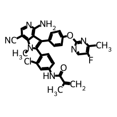 C=C(C)C(=O)Nc1ccc(-c2c(-c3ccc(Oc4ncc(F)c(C)n4)cc3)c3c(N)ncc(C#N)c3n2C)c(Cl)c1